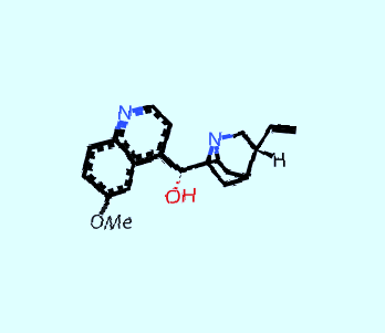 C=C[C@H]1CN2CCC1CC2[C@H](O)c1ccnc2ccc(OC)cc12